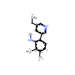 CCNc1c(-c2cncc(COC(C)=O)c2)ccc(C(F)(F)F)c1C